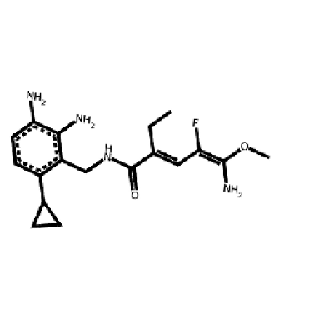 CC/C(=C\C(F)=C(/N)OC)C(=O)NCc1c(C2CC2)ccc(N)c1N